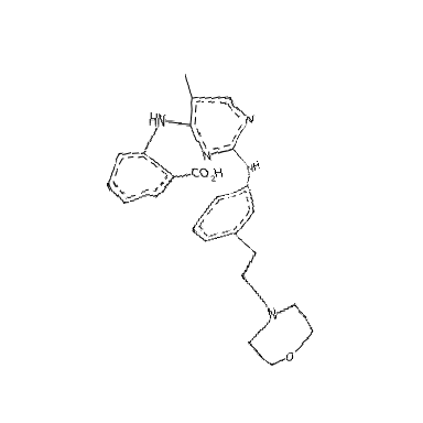 Cc1cnc(Nc2cccc(CCN3CCOCC3)c2)nc1Nc1ccccc1C(=O)O